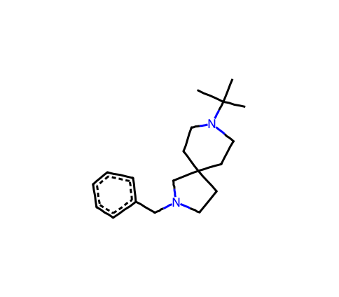 CC(C)(C)N1CCC2(CCN(Cc3ccccc3)C2)CC1